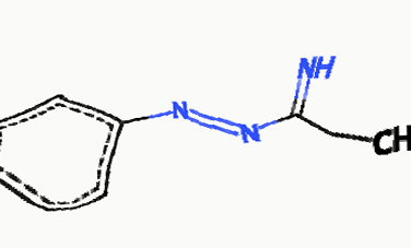 CC(=N)N=Nc1ccccc1